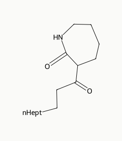 CCCCCCCCCC(=O)C1CCCCNC1=O